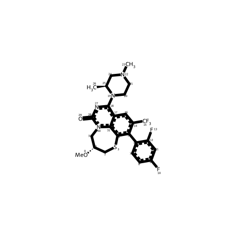 CO[C@H]1CSc2c(-c3ccc(F)cc3F)c(C(F)(F)F)cc3c(N4CCN(C)C[C@@H]4C)nc(=O)n(c23)C1